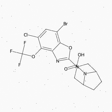 O=C(O)N1C2CCC1CN(c1nc3c(OC(F)(F)F)c(Cl)cc(Br)c3o1)C2